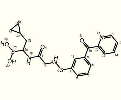 O=C(CNSc1cccc(C(=O)c2ccccn2)c1)NC(CC1CC1)B(O)O